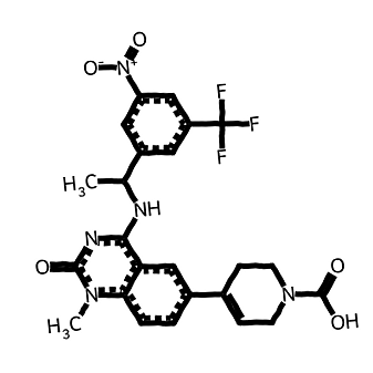 CC(Nc1nc(=O)n(C)c2ccc(C3=CCN(C(=O)O)CC3)cc12)c1cc([N+](=O)[O-])cc(C(F)(F)F)c1